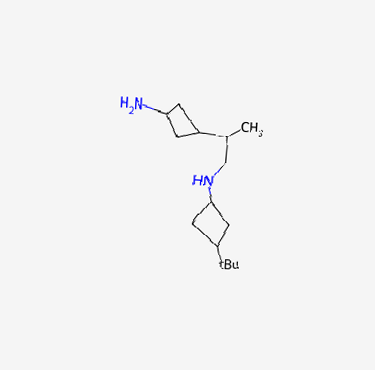 CC(CNC1CC(C(C)(C)C)C1)C1CC(N)C1